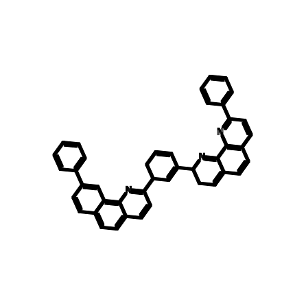 C1=CC(C2CC=c3ccc4ccc(-c5ccccc5)nc4c3=N2)=CC(c2ccc3ccc4ccc(-c5ccccc5)cc4c3n2)C1